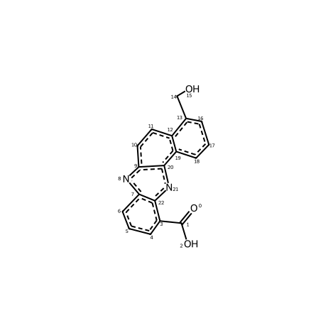 O=C(O)c1cccc2nc3ccc4c(CO)cccc4c3nc12